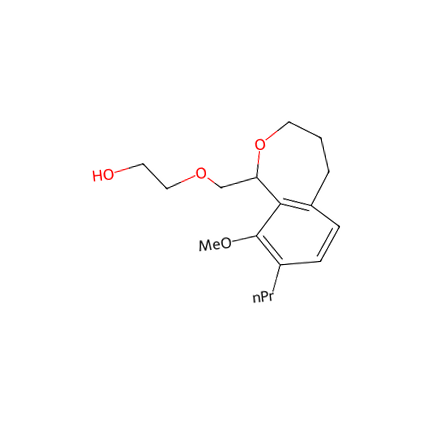 CCCc1ccc2c(c1OC)C(COCCO)OCCC2